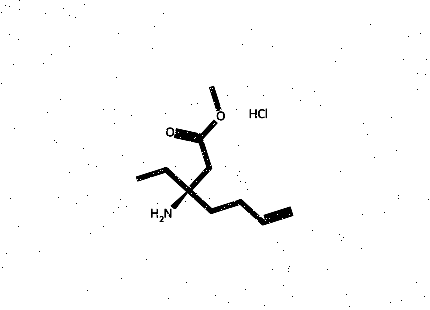 C=CCC[C@](N)(CC)CC(=O)OC.Cl